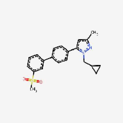 Cc1cc(-c2ccc(-c3cccc(S(C)(=O)=O)c3)cc2)n(CC2CC2)n1